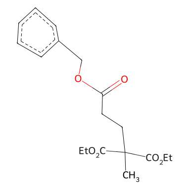 CCOC(=O)C(C)(CCC(=O)OCc1ccccc1)C(=O)OCC